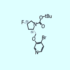 CC(C)(C)OC(=O)N1C[C@@H](F)C[C@H]1COc1cnccc1Br